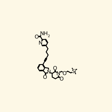 C[Si](C)(C)CCOCN1C(=O)CCC(N2Cc3c(C#CCCCc4ccc(C(N)=O)nc4)cccc3C2=O)C1=O